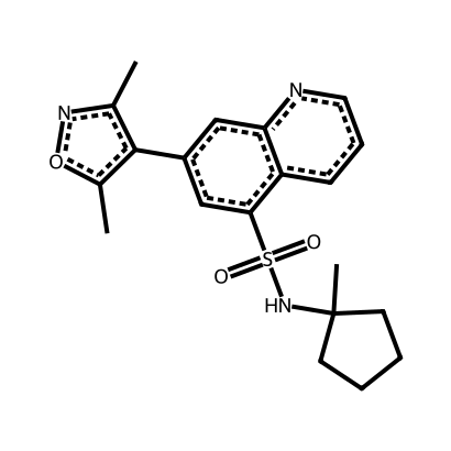 Cc1noc(C)c1-c1cc(S(=O)(=O)NC2(C)CCCC2)c2cccnc2c1